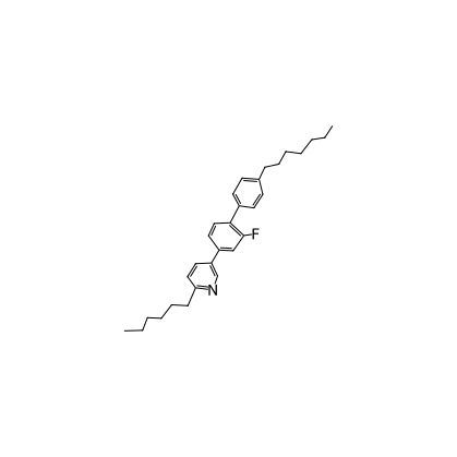 CCCCCCCc1ccc(-c2ccc(-c3ccc(CCCCCC)nc3)cc2F)cc1